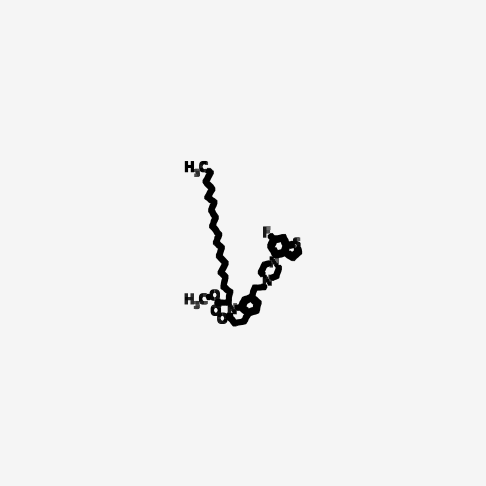 CCCCCCCCCCCCCCCCCCC(C(=O)OC)N1C(=O)CCc2ccc(CCN3CCN(c4cc(F)cc5sccc45)CC3)cc21